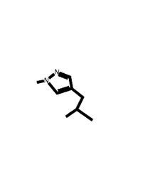 CC(C)Cc1cnn(C)c1